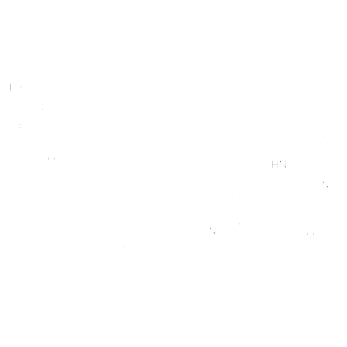 C[C@]1(CS(=O)(=O)N2CCC(Oc3ccc(OCC(F)(F)C(F)(F)F)cc3)CC2)NC(=O)NC1=O